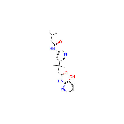 CC(C)CC(=O)Nc1cncc(C(C)(C)CC(=O)Nc2ncccc2O)c1